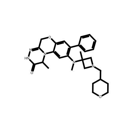 CC1C(=O)NN=C2COc3cc(-c4ccccc4)c(N(C)C4(C)CN(CC5CCOCC5)C4)cc3N21